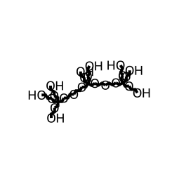 OCCOCC(COCO)(COCCO)COCCOCCOCC(COCO)(COCCO)COCCOCCOCC(COCCO)(COCCO)COCCO